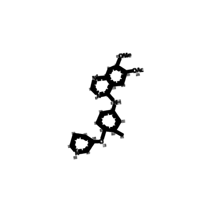 COc1cc2ncnc(Nc3ccc(Oc4cccnc4)c(C)c3)c2cc1OC(C)=O